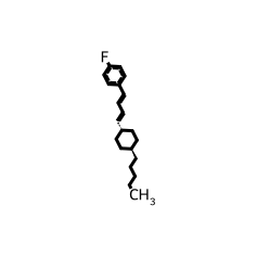 CCCCC[C@H]1CC[C@H](C=CC=Cc2ccc(F)cc2)CC1